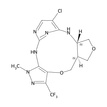 Cn1nc(C(F)(F)F)c2c1Nc1ncc(Cl)c(n1)N[C@@H]1COC[C@H]1CO2